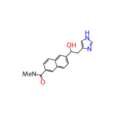 CNC(=O)c1ccc2cc(C(O)Cc3c[nH]cn3)ccc2c1